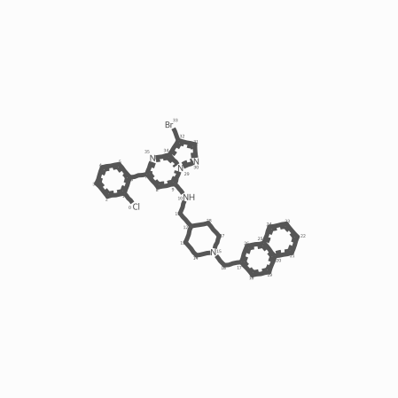 Clc1ccccc1-c1cc(NCC2CCN(Cc3ccc4ccccc4c3)CC2)n2ncc(Br)c2n1